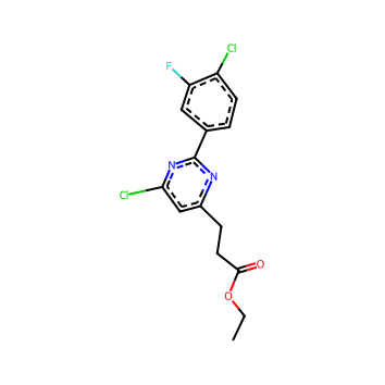 CCOC(=O)CCc1cc(Cl)nc(-c2ccc(Cl)c(F)c2)n1